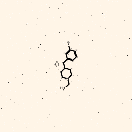 CCN1CCC(Cc2cccc(F)c2)CC1.S